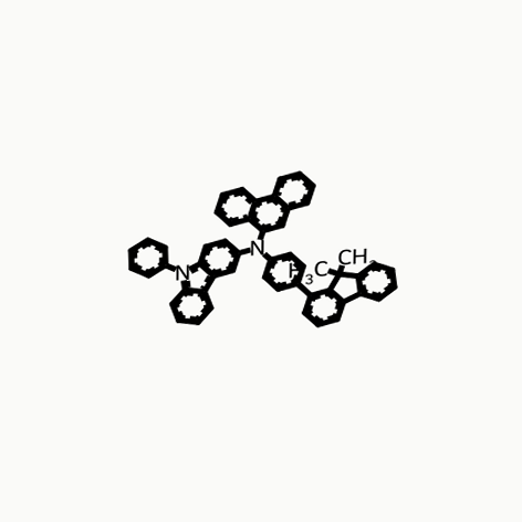 CC1(C)c2ccccc2-c2cccc(-c3ccc(N(c4ccc5c(c4)c4ccccc4n5-c4ccccc4)c4cc5ccccc5c5ccccc45)cc3)c21